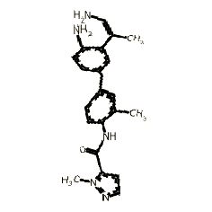 C/C(=C/N)c1cc(-c2ccc(NC(=O)c3ccnn3C)c(C)c2)ccc1N